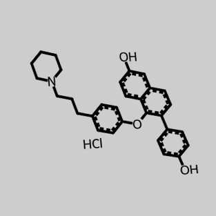 Cl.Oc1ccc(-c2ccc3cc(O)ccc3c2Oc2ccc(CCCN3CCCCC3)cc2)cc1